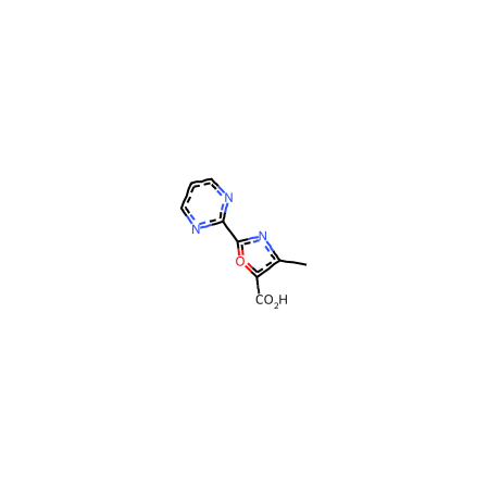 Cc1nc(-c2ncccn2)oc1C(=O)O